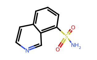 NS(=O)(=O)c1cccc2ccncc12